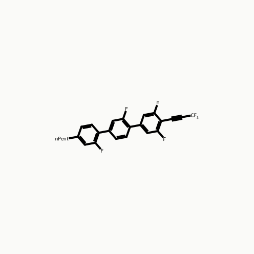 CCCCCc1ccc(-c2ccc(-c3cc(F)c(C#CC(F)(F)F)c(F)c3)c(F)c2)c(F)c1